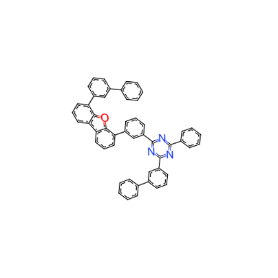 c1ccc(-c2cccc(-c3nc(-c4ccccc4)nc(-c4cccc(-c5cccc6c5oc5c(-c7cccc(-c8ccccc8)c7)cccc56)c4)n3)c2)cc1